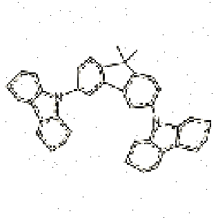 CC1(C)c2ccc(-n3c4ccccc4c4ccccc43)cc2-c2cc(-n3c4ccccc4c4ccccc43)ccc21